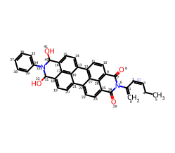 C=C(/C=C\CC)N1C(=O)c2ccc3c4ccc5c6c(ccc(c7ccc(c2c37)C1=O)c64)C(O)N(c1ccccc1)C5O